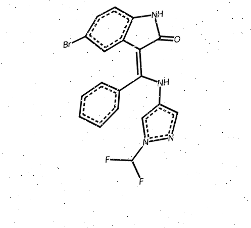 O=C1Nc2ccc(Br)cc2/C1=C(/Nc1cnn(C(F)F)c1)c1ccccc1